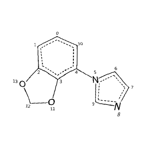 c1cc2c(c(-n3ccnc3)c1)OCO2